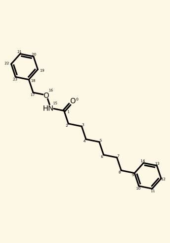 O=C(CCCCCCCc1ccccc1)NOCc1ccccc1